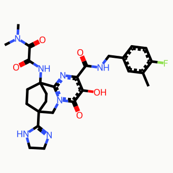 Cc1cc(CNC(=O)c2nc3n(c(=O)c2O)CC2(C4=NCCN4)CCC3(NC(=O)C(=O)N(C)C)CC2)ccc1F